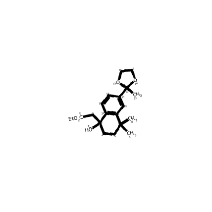 CCOC(=O)CC1(O)CCC(C)(C)c2cc(C3(C)OCCO3)ccc21